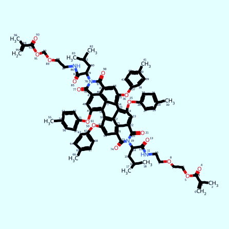 C=C(C)C(=O)OCCOCCNC(=O)C(CC(C)C)N1C(=O)c2cc(Oc3ccc(C)cc3)c3c4c(Oc5ccc(C)cc5)cc5c6c(cc(Oc7ccc(C)cc7)c(c7c(Oc8ccc(C)cc8)cc(c2c37)C1=O)c64)C(=O)N(C(CC(C)C)C(=O)NCCOCOC(=O)C(=C)C)C5=O